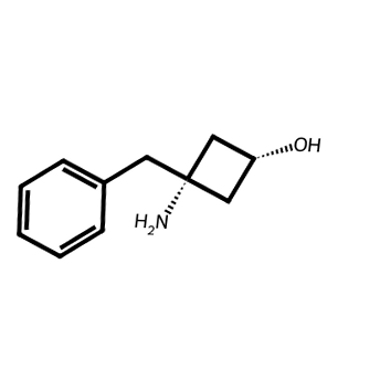 N[C@]1(Cc2ccccc2)C[C@H](O)C1